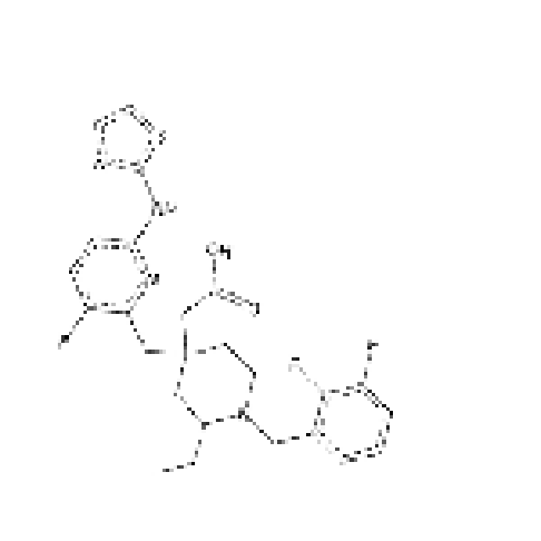 CCC1CC(CC(=O)O)(Cc2nc(Nc3nccs3)ccc2F)CCN1Cc1cccc(F)c1F